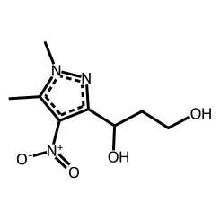 Cc1c([N+](=O)[O-])c(C(O)CCO)nn1C